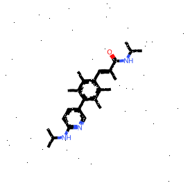 C/C(=C\c1c(C)c(C)c(-c2ccc(NC(C)C)nc2)c(C)c1C)C(=O)NC(C)C